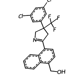 OCc1ccc(C2=NCC(c3cc(Cl)cc(Cl)c3)(C(F)(F)F)C2)c2ccccc12